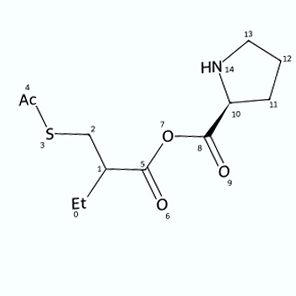 CCC(CSC(C)=O)C(=O)OC(=O)[C@@H]1CCCN1